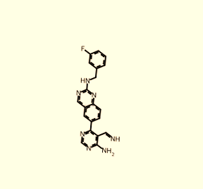 N=Cc1c(N)ncnc1-c1ccc2nc(NCc3cccc(F)c3)ncc2c1